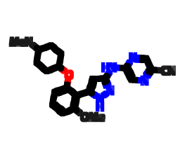 CNC1CCC(Oc2cccc(OC)c2-c2cc(Nc3cnc(C#N)cn3)n[nH]2)CC1